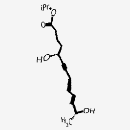 CC(C)OC(=O)CCC[C@H](O)C#C/C=C/C=C/[C@@H](C)O